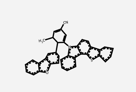 CC1C=C(C#N)C=C(n2c3ccccc3c3c4sc5ccccc5c4ccc32)C1c1ccc2oc3ccccc3c2c1